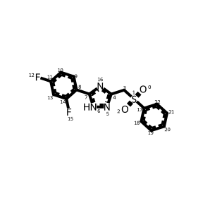 O=S(=O)(Cc1n[nH]c(-c2ccc(F)cc2F)n1)c1ccccc1